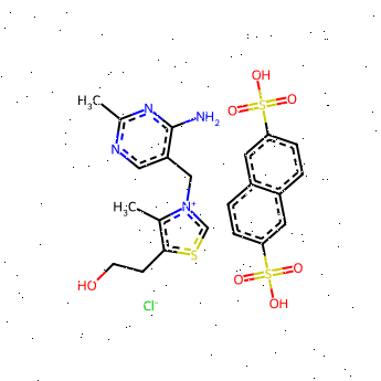 Cc1ncc(C[n+]2csc(CCO)c2C)c(N)n1.O=S(=O)(O)c1ccc2cc(S(=O)(=O)O)ccc2c1.[Cl-]